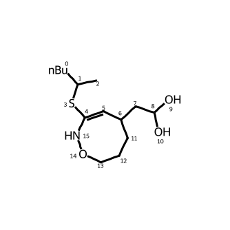 CCCCC(C)SC1=CC(CC(O)O)CCCON1